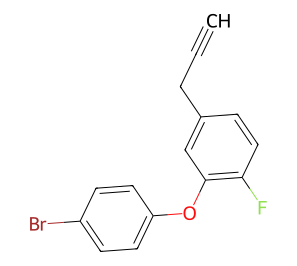 C#CCc1ccc(F)c(Oc2ccc(Br)cc2)c1